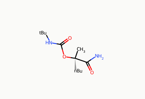 CCCC[C@@](C)(OC(=O)NC(C)(C)C)C(N)=O